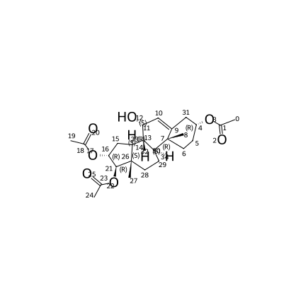 CC(=O)O[C@@H]1CC[C@@]2(C)C(=C[C@@H](O)[C@H]3[C@@H]4C[C@@H](OC(C)=O)[C@H](OC(C)=O)[C@@]4(C)CC[C@@H]32)C1